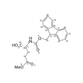 COC(=O)CC[C@@H](NC(=O)OCC1c2ccccc2-c2ccccc21)C(=O)O